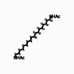 CC(=O)NCCCCCCCCCCCCCCCCCCNC(C)=O